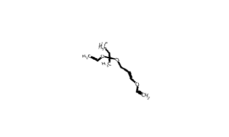 C=CO/C=C/COC(C)(CC)OC=C